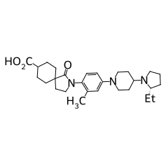 CC[C@H]1CCCN1C1CCN(c2ccc(N3CCC4(CCC(C(=O)O)CC4)C3=O)c(C)c2)CC1